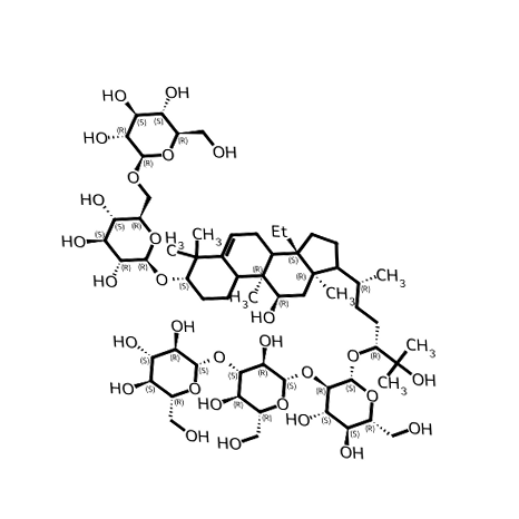 CC[C@@]12CCC([C@H](C)CC[C@@H](O[C@@H]3O[C@H](CO)[C@@H](O)[C@H](O)[C@H]3O[C@@H]3O[C@H](CO)[C@@H](O)[C@H](O[C@@H]4O[C@H](CO)[C@@H](O)[C@H](O)[C@H]4O)[C@H]3O)C(C)(C)O)[C@@]1(C)C[C@@H](O)[C@@]1(C)C3CC[C@H](O[C@@H]4O[C@H](CO[C@@H]5O[C@H](CO)[C@@H](O)[C@H](O)[C@H]5O)[C@@H](O)[C@H](O)[C@H]4O)C(C)(C)C3=CCC12